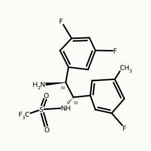 Cc1cc(F)cc([C@H](NS(=O)(=O)C(F)(F)F)[C@@H](N)c2cc(F)cc(F)c2)c1